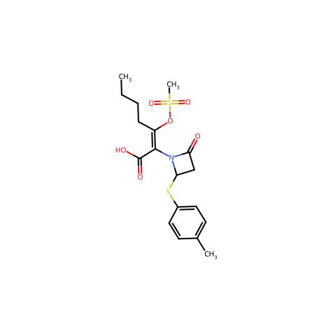 CCCCC(OS(C)(=O)=O)=C(C(=O)O)N1C(=O)CC1Sc1ccc(C)cc1